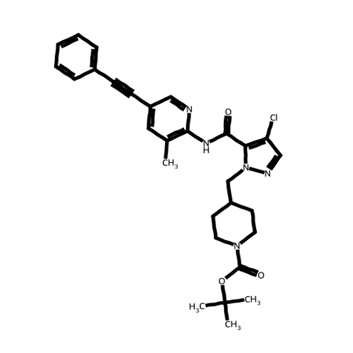 Cc1cc(C#Cc2ccccc2)cnc1NC(=O)c1c(Cl)cnn1CC1CCN(C(=O)OC(C)(C)C)CC1